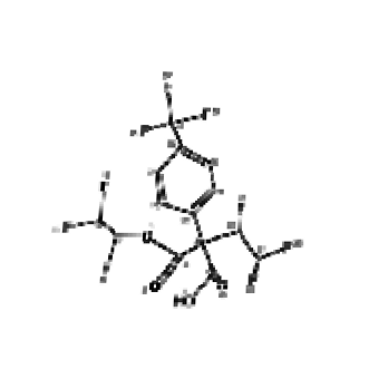 O=C(O)C(C(=O)OC(F)C(F)F)(c1ccc(C(F)(F)F)cc1)C(F)C(F)F